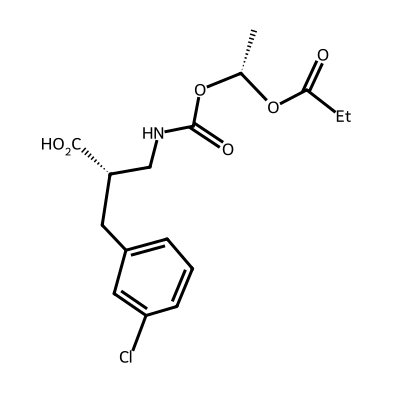 CCC(=O)O[C@@H](C)OC(=O)NC[C@H](Cc1cccc(Cl)c1)C(=O)O